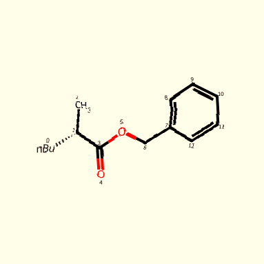 CCCC[C@H](C)C(=O)OCc1ccccc1